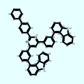 c1ccc(-c2ccc(-c3nc(-c4cccc(-c5cccc6sc7ccccc7c56)c4)cc(-c4cccc(-c5cccc6sc7ccccc7c56)c4)n3)cc2)cc1